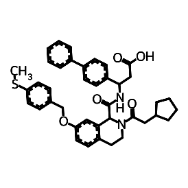 CSc1ccc(COc2ccc3c(c2)C(C(=O)NC(CC(=O)O)c2ccc(-c4ccccc4)cc2)N(C(=O)CC2CCCC2)CC3)cc1